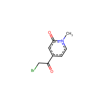 Cn1ccc(C(=O)CBr)cc1=O